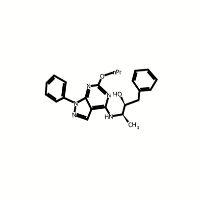 CCCOc1nc(N[C@H](C)[C@@H](O)Cc2ccccc2)c2cnn(-c3ccccc3)c2n1